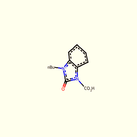 CCCCn1c(=O)n(C(=O)O)c2ccccc21